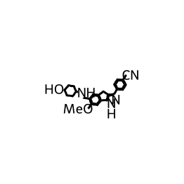 COc1cc2c(cc1CNC1CCC(O)CC1)Cc1c(-c3ccc(C#N)cc3)n[nH]c1-2